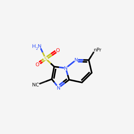 CCCc1ccc2nc(C#N)c(S(N)(=O)=O)n2n1